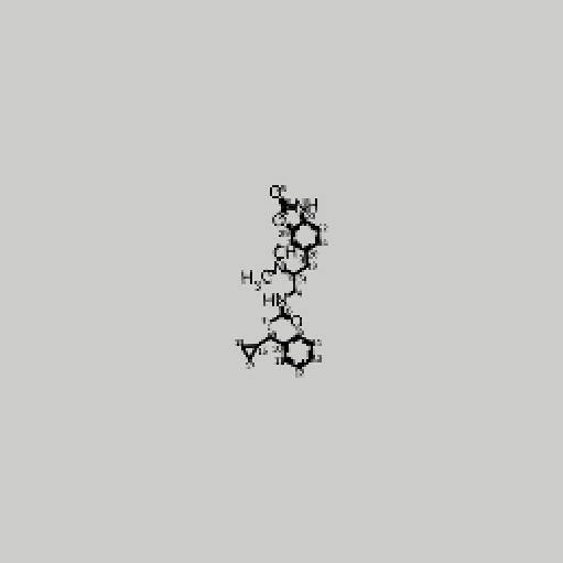 CN(C)[C@H](CNC(=O)C[C@H](c1ccccc1)C1CC1)Cc1ccc2[nH]c(=O)oc2c1